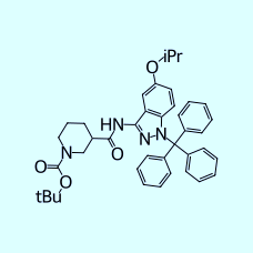 CC(C)Oc1ccc2c(c1)c(NC(=O)C1CCCN(C(=O)OC(C)(C)C)C1)nn2C(c1ccccc1)(c1ccccc1)c1ccccc1